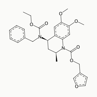 CCOC(=O)N(Cc1ccccc1)[C@@H]1C[C@H](C)N(C(=O)OCc2ccoc2)c2cc(OC)c(OC)cc21